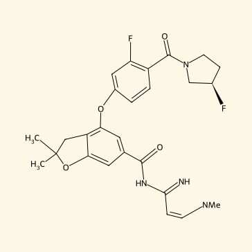 CN/C=C\C(=N)NC(=O)c1cc(Oc2ccc(C(=O)N3CC[C@@H](F)C3)c(F)c2)c2c(c1)OC(C)(C)C2